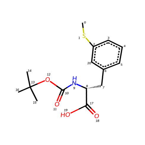 CSc1cccc(C[C@@H](NC(=O)OC(C)(C)C)C(=O)O)c1